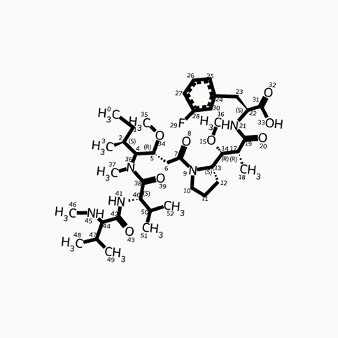 CC[C@H](C)C([C@@H](CC(=O)N1CCC[C@H]1[C@H](OC)[C@@H](C)C(=O)N[C@@H](Cc1cccc(F)c1)C(=O)O)OC)N(C)C(=O)[C@@H](NC(=O)C(NC)C(C)C)C(C)C